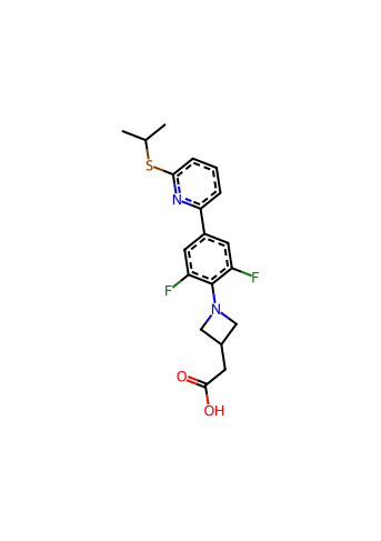 CC(C)Sc1cccc(-c2cc(F)c(N3CC(CC(=O)O)C3)c(F)c2)n1